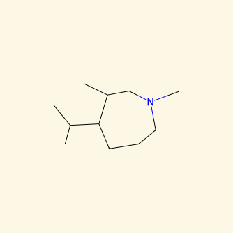 CC(C)C1CCCN(C)CC1C